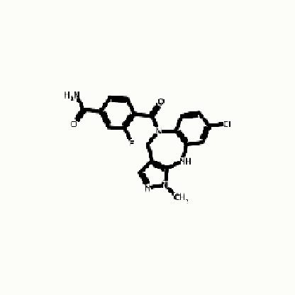 Cn1ncc2c1Nc1cc(Cl)ccc1N(C(=O)c1ccc(C(N)=O)cc1F)C2